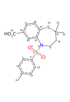 Cc1ccc(S(=O)(=O)N2CCC(C)(C)Sc3ccc(C(=O)O)cc32)cc1